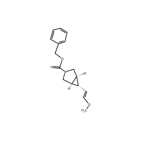 CO/C=C/[C@@H]1[C@H]2CN(C(=O)OCc3ccccc3)C[C@@H]12